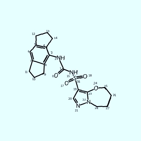 O=C(Nc1c2c(cc3c1CCC3)CCC2)NS(=O)(=O)c1cnn2c1OCCCC2